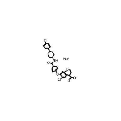 O=C(NC1CCC(c2ccc(Cl)cc2)CC1)c1ccc(Oc2cc3c(cc2Cl)C(C(=O)[O-])CCO3)cc1.[Na+]